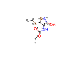 CCOC(=O)Nc1c(O)nsc1SCC